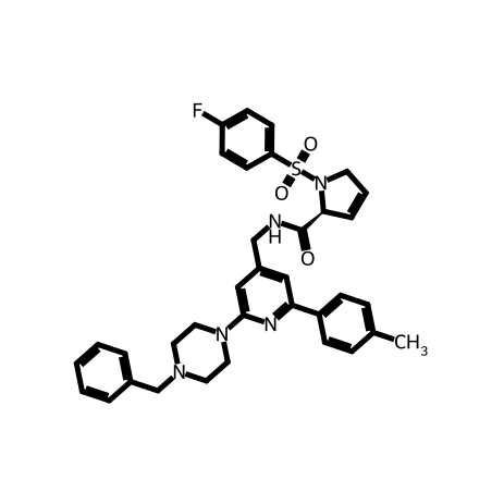 Cc1ccc(-c2cc(CNC(=O)[C@@H]3C=CCN3S(=O)(=O)c3ccc(F)cc3)cc(N3CCN(Cc4ccccc4)CC3)n2)cc1